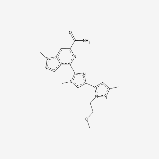 COCCn1nc(C)cc1-c1cn(C)c(-c2nc(C(N)=O)cc3c2cnn3C)n1